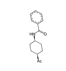 CC(=O)[C@H]1CC[C@@H](NC(=O)c2ccccc2)CC1